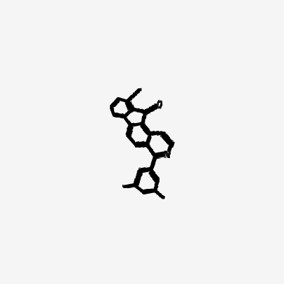 Cc1cc(C)cc(-c2nccc3c4c(ccc23)-c2cccc(C)c2C4=O)c1